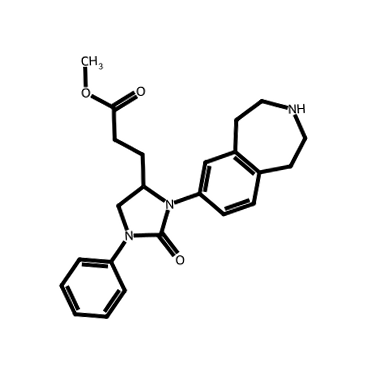 COC(=O)CCC1CN(c2ccccc2)C(=O)N1c1ccc2c(c1)CCNCC2